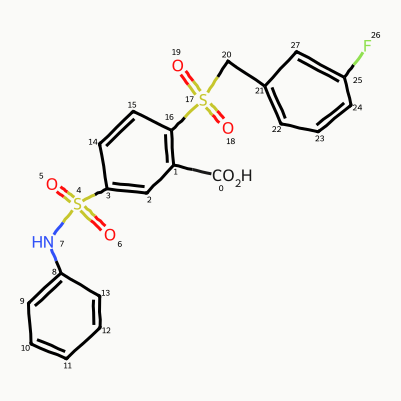 O=C(O)c1cc(S(=O)(=O)Nc2ccccc2)ccc1S(=O)(=O)Cc1cccc(F)c1